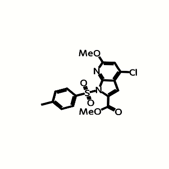 COC(=O)c1cc2c(Cl)cc(OC)nc2n1S(=O)(=O)c1ccc(C)cc1